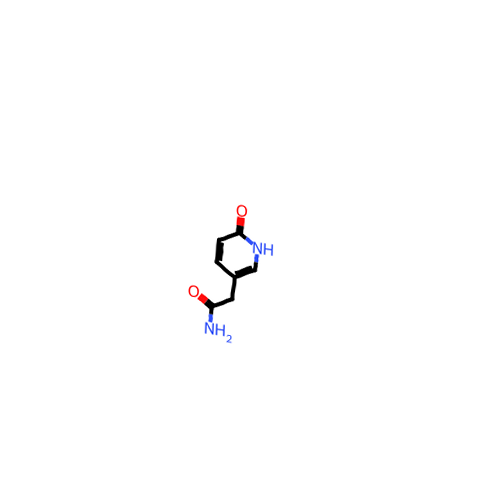 NC(=O)Cc1ccc(=O)[nH]c1